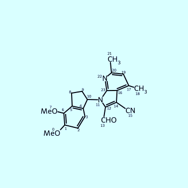 COc1ccc2c(c1OC)CCC2n1c(C=O)c(C#N)c2c(C)cc(C)nc21